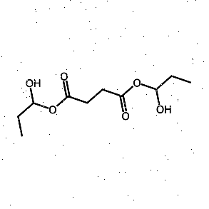 CCC(O)OC(=O)CCC(=O)OC(O)CC